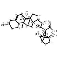 C[C@H](C[C@@H](C(=O)O)C1CC2CCC1(C)C2(C)C)[C@H]1CC[C@H]2[C@@H]3CC=C4C[C@@H](O)CC[C@]4(C)[C@H]3CC[C@]12C